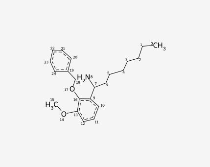 CCCCCCCC(N)c1cccc(OC)c1OCc1ccccc1